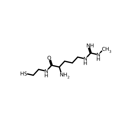 CNC(=N)NCCCC(N)C(=O)NCCS